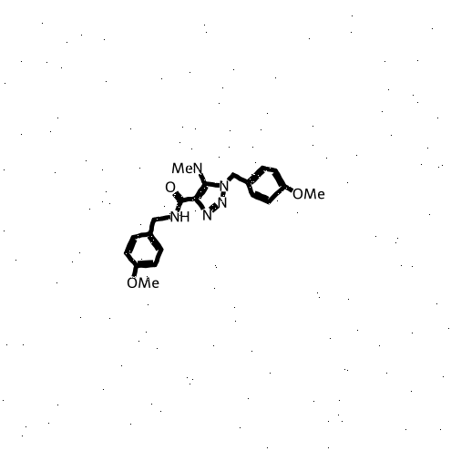 CNc1c(C(=O)NCc2ccc(OC)cc2)nnn1Cc1ccc(OC)cc1